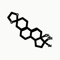 CC(=O)[C@@]1(O)CCC2C3CCC4=C(CCC5(C4)OCCO5)C3=CC[C@@]21C